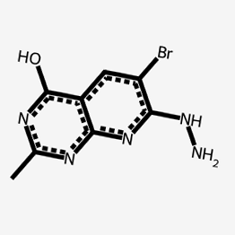 Cc1nc(O)c2cc(Br)c(NN)nc2n1